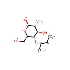 N[C@@H]1[C@@H](O)[C@H](O)[C@@H](CO)O[C@H]1O.O=C(O)CCC(=O)O